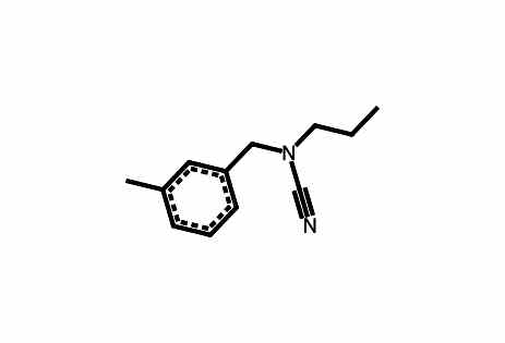 CCCN(C#N)Cc1cccc(C)c1